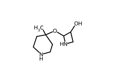 CC1(OC2NCC2O)CCNCC1